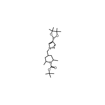 CC1CC(Cn2cc(B3OC(C)(C)C(C)(C)O3)cn2)CC(C)N1C(=O)OC(C)(C)C